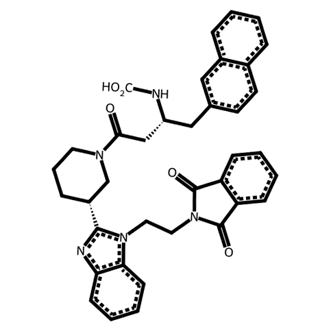 O=C(O)N[C@@H](CC(=O)N1CCC[C@@H](c2nc3ccccc3n2CCN2C(=O)c3ccccc3C2=O)C1)Cc1ccc2ccccc2c1